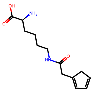 N[C@@H](CCCCNC(=O)CC1=CC=CC1)C(=O)O